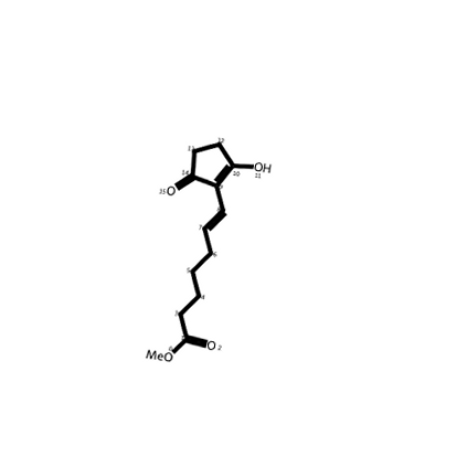 COC(=O)CCCCC=CC1=C(O)CCC1=O